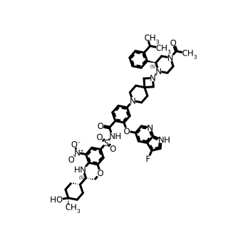 CC(=O)N1CCN(N2CC3(CCN(c4ccc(C(=O)NS(=O)(=O)c5cc6c(c([N+](=O)[O-])c5)N[C@@H]([C@H]5CC[C@](C)(O)CC5)CO6)c(Oc5cnc6[nH]cc(F)c6c5)c4)CC3)C2)[C@@H](c2ccccc2C(C)C)C1